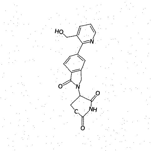 O=C1CCC(N2Cc3cc(-c4ncccc4CO)ccc3C2=O)C(=O)N1